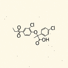 CCS(=O)(=O)c1ccc(OC(C)(C(=O)O)c2ccc(Cl)cc2)c(Cl)c1